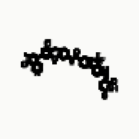 COc1cc(-c2cn(C)c(=O)c3cnccc23)cc(Cl)c1CN1CCC(N(C)C(=O)C2CCN(c3ccc(NC4CCC(=O)NC4=O)cc3C(F)(F)F)CC2)CC1